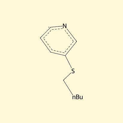 CCCCCSc1cc[c]nc1